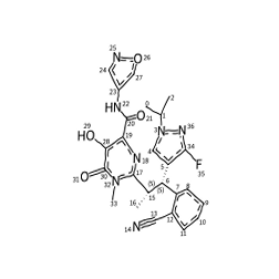 CC(C)n1cc([C@H](c2ccccc2C#N)[C@H](C)c2nc(C(=O)Nc3cnoc3)c(O)c(=O)n2C)c(F)n1